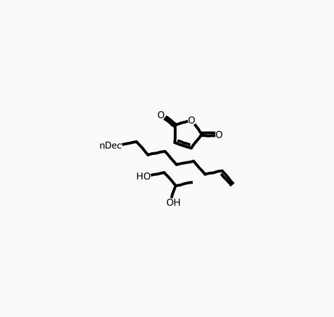 C=CCCCCCCCCCCCCCCCC.CC(O)CO.O=C1C=CC(=O)O1